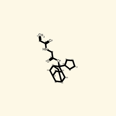 C=CC(=O)NCC(=O)OC1(C2CCCC2)C2CC3CC(C2)CC1C3